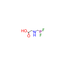 O=C(O)CNCP(F)F